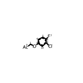 CC(=O)COc1ccc(F)c(Cl)c1